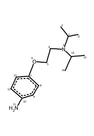 CC(C)N(CCOc1ccc(N)cc1)C(C)C